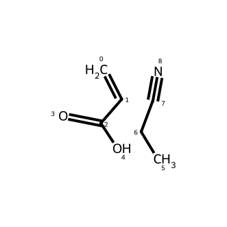 C=CC(=O)O.CCC#N